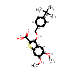 COc1cc2sc(C(=O)O)c(OCc3ccc(C(C)(C)C)cc3)c2cc1OC